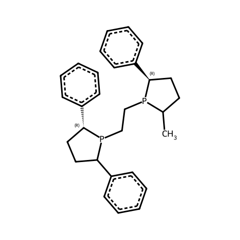 CC1CC[C@H](c2ccccc2)P1CCP1C(c2ccccc2)CC[C@@H]1c1ccccc1